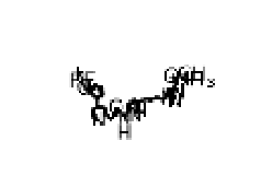 CNC(=O)c1cn(CCCCc2ccc(NC(=O)Cc3cc(-c4cccc(OC(F)(F)F)c4)ccn3)nn2)nn1